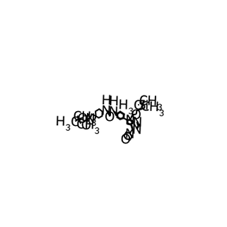 CC(C)(C)OC(=O)N1CC2(CCC(NC(=O)Nc3ccc(-c4cc5c(N6CCOCC6)ncnc5n4COCC[Si](C)(C)C)cc3)CC2)C1